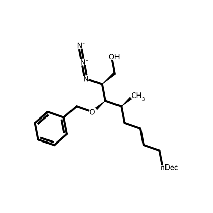 CCCCCCCCCCCCCC[C@H](C)[C@@H](OCc1ccccc1)[C@H](CO)N=[N+]=[N-]